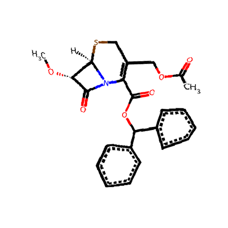 CO[C@H]1C(=O)N2C(C(=O)OC(c3ccccc3)c3ccccc3)=C(COC(C)=O)CS[C@H]12